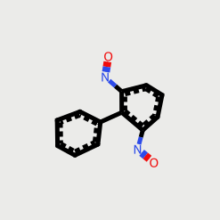 O=Nc1cccc(N=O)c1-c1ccccc1